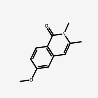 COc1ccc2c(=O)n(C)c(C)cc2c1